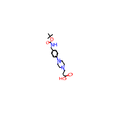 CC(C)(C)OC(=O)NCc1ccc(N2CCN(CCC(=O)O)CC2)cc1